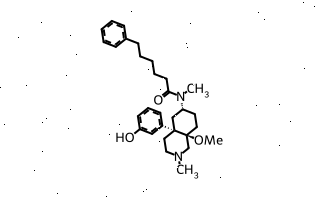 CO[C@]12CC[C@@H](N(C)C(=O)CCCCCc3ccccc3)C[C@]1(c1cccc(O)c1)CCN(C)C2